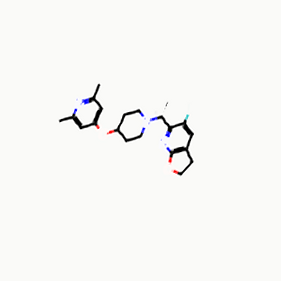 Cc1cc(OC2CCN([C@@H](C)c3nc4c(cc3F)CCO4)CC2)cc(C)n1